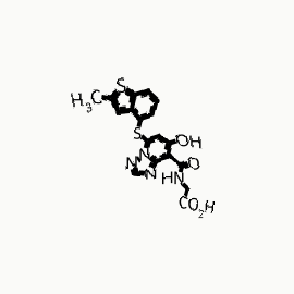 Cc1cc2c(Sc3cc(O)c(C(=O)NCC(=O)O)c4ncnn34)cccc2s1